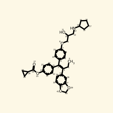 CCC(=C(c1ccc(OCC(O)CNC2CCCC2)cc1)c1ccc(OC(=O)C2CC2)cc1)c1ccc2c(c1)OCO2